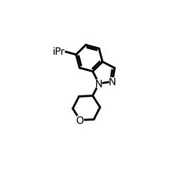 CC(C)c1ccc2cnn(C3CCOCC3)c2c1